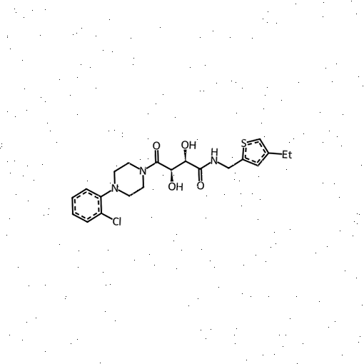 CCc1csc(CNC(=O)[C@H](O)[C@@H](O)C(=O)N2CCN(c3ccccc3Cl)CC2)c1